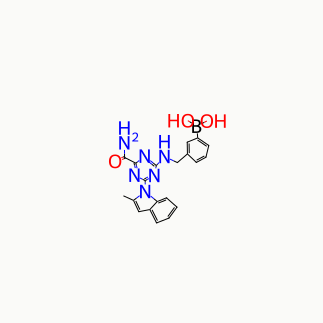 Cc1cc2ccccc2n1-c1nc(NCc2cccc(B(O)O)c2)nc(C(N)=O)n1